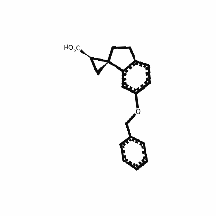 O=C(O)[C@@H]1C[C@]12CCc1ccc(OCc3ccccc3)cc12